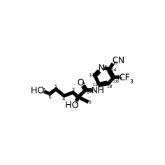 CC(O)(CCCCO)C(=O)Nc1cnc(C#N)c(C(F)(F)F)c1